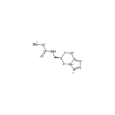 CC(C)(C)OC(=O)NC[C@H]1COc2ccnn2C1